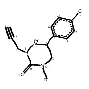 C#CCN1NC(c2ccc(Cl)cc2)CN(C)C1=O